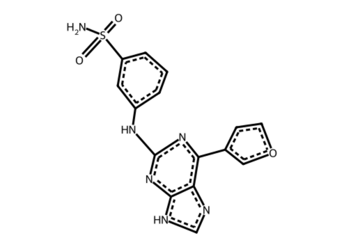 NS(=O)(=O)c1cccc(Nc2nc(-c3ccoc3)c3nc[nH]c3n2)c1